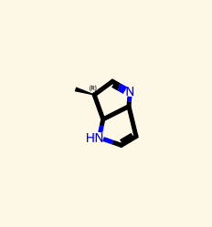 C[C@H]1C=NC2C=CNC21